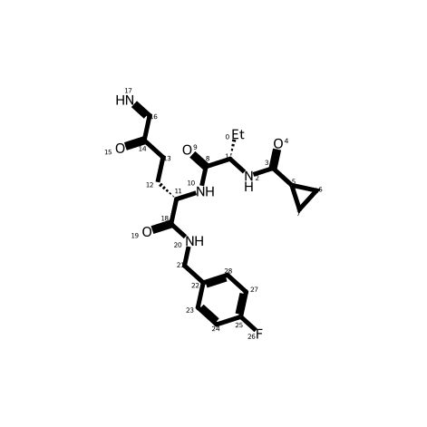 CC[C@H](NC(=O)C1CC1)C(=O)N[C@@H](CCC(=O)C=N)C(=O)NCc1ccc(F)cc1